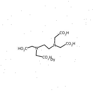 O=C(O)CN(CCN(CC(=O)O)CC(=O)O)CC(=O)O.[Dy]